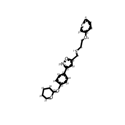 c1ccc(OCCSCc2cc(-c3ccc(OC4CCCCO4)cc3)no2)cc1